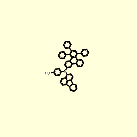 Cc1ccc(N(c2ccc3c(c2)c2ccccc2c2c(-c4ccccc4)cc(-c4ccccc4)c(-c4ccccc4)c32)c2ccc3c4c(cccc24)C2C=CC=CC32)cc1